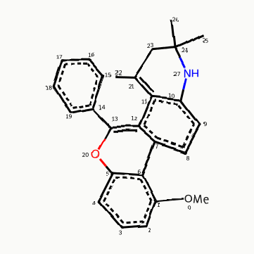 COc1cccc2c1-c1ccc3c(c1=C(c1ccccc1)O2)=C(C)CC(C)(C)N3